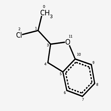 CC(Cl)C1Cc2ccccc2O1